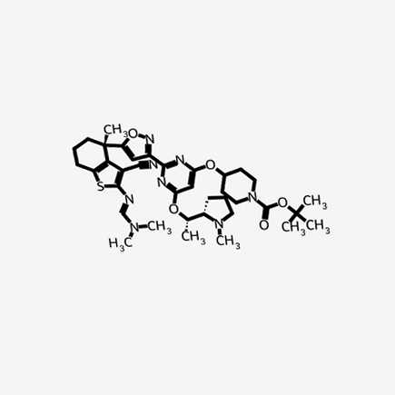 C[C@H](Oc1cc(OC2CCN(C(=O)OC(C)(C)C)CC2)nc(-c2cc([C@@]3(C)CCCc4sc(/N=C/N(C)C)c(C#N)c43)on2)n1)[C@@H]1CCCN1C